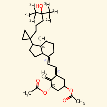 [2H]C([2H])([2H])C(O)(CCCC1(C2CCC3/C(=C/C=C4/CC(OC(C)=O)C[C@H](OC(C)=O)C4=C)CCC[C@@]32C)CC1)C([2H])([2H])[2H]